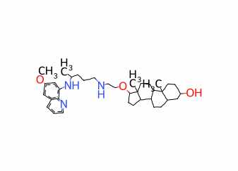 COc1cc(NC(C)CCCNCCOC2CCC3C4CCC5CC(O)CCC5(C)C4CCC23C)c2ncccc2c1